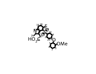 COc1ccccc1Oc1ccc(S(=O)(=O)c2c(F)ccc3c2=C(CC(=O)O)C(C)N=3)cc1